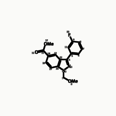 COCn1nc(-c2cccc(F)c2)c2cc(C(=O)OC)ccc21